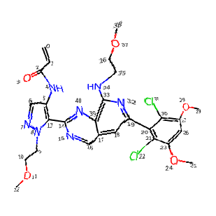 C=CC(=O)Nc1cnn(CCOC)c1-c1ncc2cc(-c3c(Cl)c(OC)cc(OC)c3Cl)nc(NCCOC)c2n1